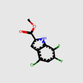 COC(=O)c1cc2c(Cl)cc(F)c(F)c2[nH]1